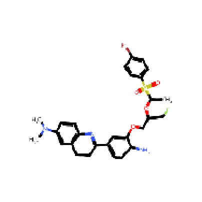 CC(OC(CF)COC1=CC(C2=Nc3ccc(N(C)C)cc3CC2)=CCC1N)S(=O)(=O)c1ccc(Br)cc1